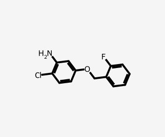 Nc1cc(OCc2ccccc2F)ccc1Cl